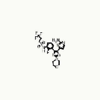 Nc1nccc(-c2sc(N3CCOCC3)nc2-c2cccc(NS(=O)(=O)CCC(F)(F)F)c2F)n1